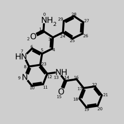 NC(=O)C(=Cc1c[nH]c2nccc(NC(=O)Cc3ccccc3)c12)c1ccccc1